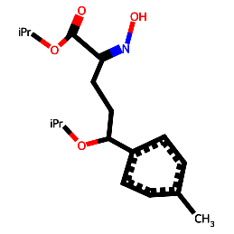 Cc1ccc(C(CCC(=NO)C(=O)OC(C)C)OC(C)C)cc1